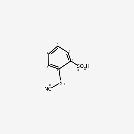 N#CSc1ccccc1S(=O)(=O)O